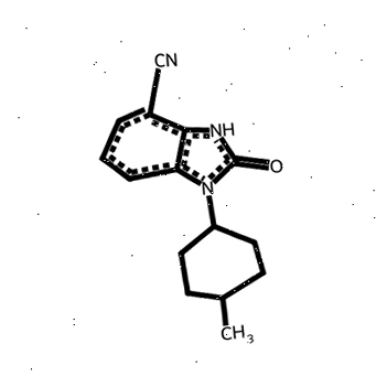 CC1CCC(n2c(=O)[nH]c3c(C#N)cccc32)CC1